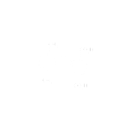 Cc1ccc(C)c(Cc2cc(C(=O)O)ccc2C(=O)O)c1